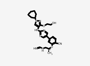 C[C@@H](CNC=N)Oc1cc(-c2cnc(Nc3cn(C4CCCCC4)nc3OCCO)nc2)ccc1C#N